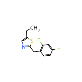 CCc1cnc(Cc2ccc(F)cc2F)s1